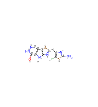 Cn1c2nc(Cc3nc(N)sc3F)sc2c2cn[nH]c(=O)c21